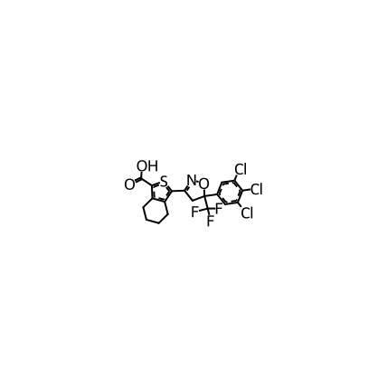 O=C(O)c1sc(C2=NOC(c3cc(Cl)c(Cl)c(Cl)c3)(C(F)(F)F)C2)c2c1CCCC2